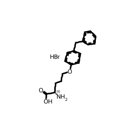 Br.N[C@@H](CCCOc1ccc(Cc2ccccc2)cc1)C(=O)O